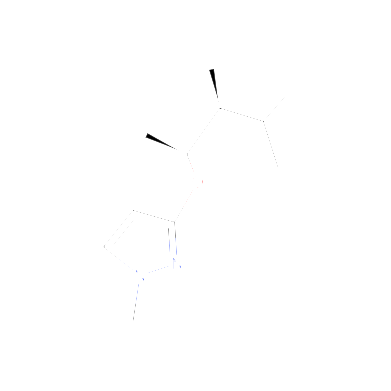 CC(C)[C@H](C)[C@H](C)Oc1ccn(C)n1